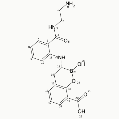 NCCNC(=O)c1ccccc1N[C@H]1Cc2cccc(C(=O)O)c2OB1O